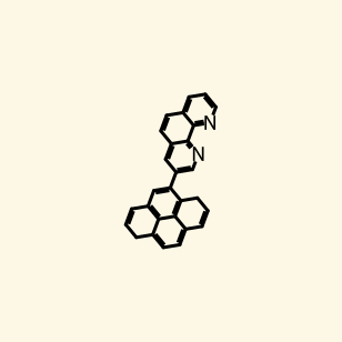 C1=Cc2cc(-c3cnc4c(ccc5cccnc54)c3)c3c4c(ccc(c24)C1)C=CC3